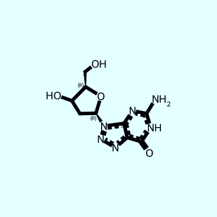 Nc1nc2c(nnn2[C@H]2CC(O)[C@@H](CO)O2)c(=O)[nH]1